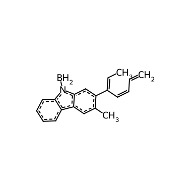 Bn1c2ccccc2c2cc(C)c(C(/C=C\C=C)=C/C)cc21